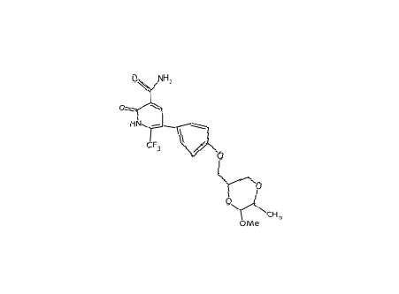 COC1OC(COc2ccc(-c3cc(C(N)=O)c(=O)[nH]c3C(F)(F)F)cc2)COC1C